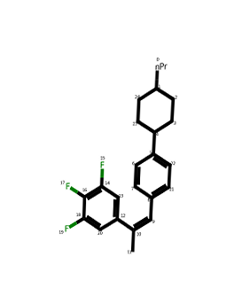 CCCC1CCC(c2ccc(C=C(C)c3cc(F)c(F)c(F)c3)cc2)CC1